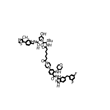 Cc1ncsc1-c1ccc(CNC(O)[C@@H]2C[C@@H](O)CN2C(=O)[C@@H](NC(=O)CCCCCC(=O)N2CCN(c3ccc(C(=O)Nc4n[nH]c5ccc(Cc6cc(F)cc(F)c6)cc45)c(NC4CCOCC4)c3)CC2)C(C)(C)C)cc1